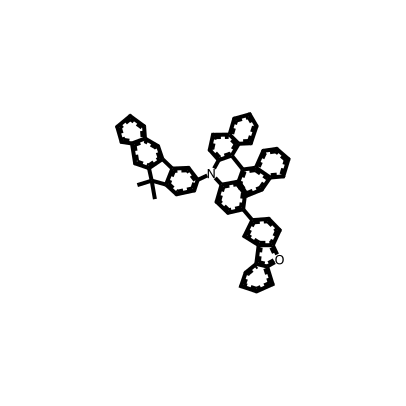 CC1(C)c2ccc(N(c3ccc(-c4ccc5oc6ccccc6c5c4)cc3)c3ccc4ccccc4c3-c3cccc4ccccc34)cc2-c2cc3ccccc3cc21